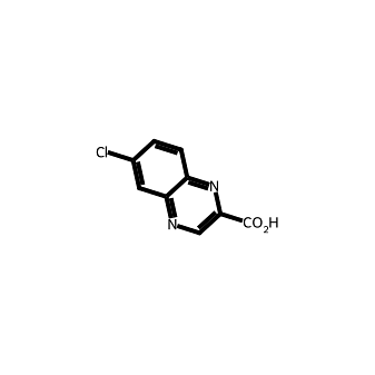 O=C(O)c1cnc2cc(Cl)ccc2n1